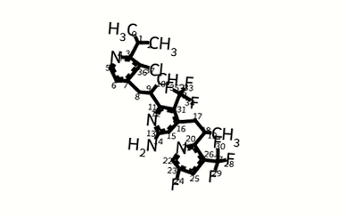 CC(C)c1nccc(CC(C)c2nc(N)cc(CC(C)c3ncc(F)cc3C(F)(F)F)c2C(F)(F)F)c1Cl